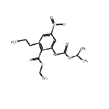 CCCc1cc([N+](=O)[O-])cc(NC(=O)OC(C)C)c1C(=O)OCC